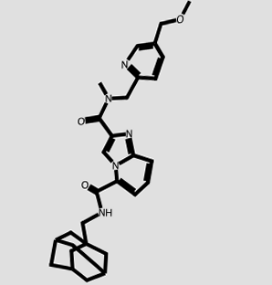 COCc1ccc(CN(C)C(=O)c2cn3c(C(=O)NCC45CC6CC(CC(C6)C4)C5)cccc3n2)nc1